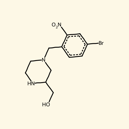 O=[N+]([O-])c1cc(Br)ccc1CN1CCNC(CO)C1